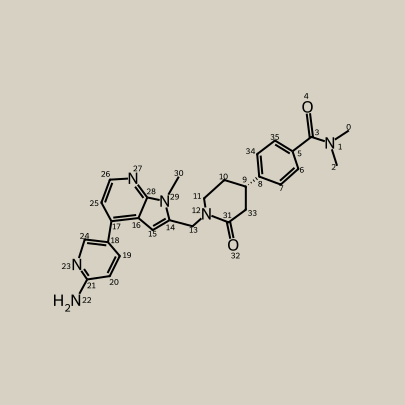 CN(C)C(=O)c1ccc([C@H]2CCN(Cc3cc4c(-c5ccc(N)nc5)ccnc4n3C)C(=O)C2)cc1